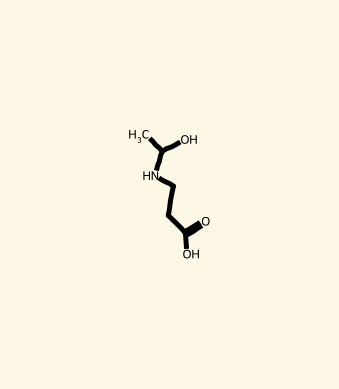 CC(O)NCCC(=O)O